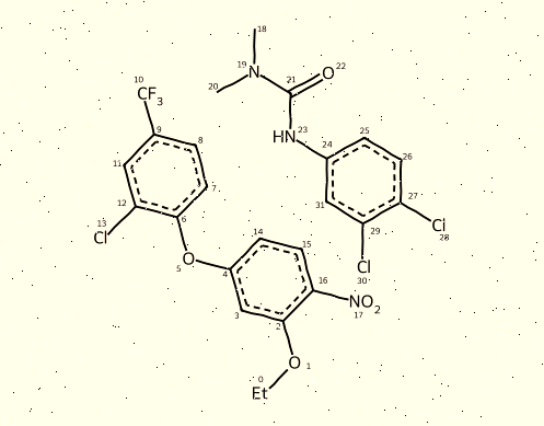 CCOc1cc(Oc2ccc(C(F)(F)F)cc2Cl)ccc1[N+](=O)[O-].CN(C)C(=O)Nc1ccc(Cl)c(Cl)c1